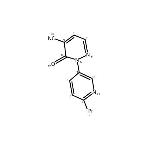 CC(C)c1ccc(-n2nccc(C#N)c2=O)cn1